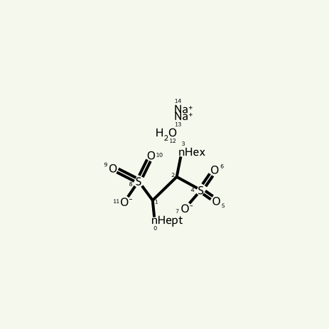 CCCCCCCC(C(CCCCCC)S(=O)(=O)[O-])S(=O)(=O)[O-].O.[Na+].[Na+]